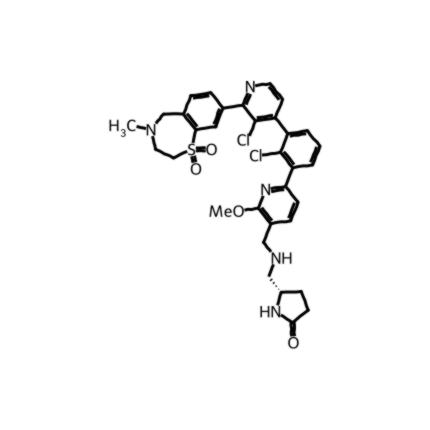 COc1nc(-c2cccc(-c3ccnc(-c4ccc5c(c4)S(=O)(=O)CCN(C)C5)c3Cl)c2Cl)ccc1CNC[C@@H]1CCC(=O)N1